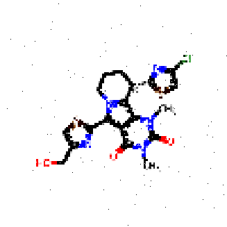 Cn1c(=O)c2c(-c3nc(CO)cs3)n3c(c2n(C)c1=O)[C@@H](c1nc(Cl)cs1)CCC3